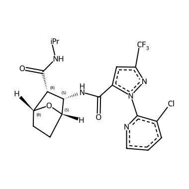 CC(C)NC(=O)[C@@H]1[C@H](NC(=O)c2cc(C(F)(F)F)nn2-c2ncccc2Cl)[C@@H]2CC[C@H]1O2